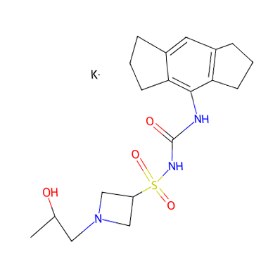 CC(O)CN1CC(S(=O)(=O)NC(=O)Nc2c3c(cc4c2CCC4)CCC3)C1.[K]